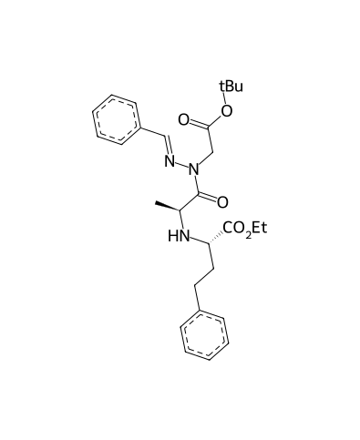 CCOC(=O)[C@H](CCc1ccccc1)N[C@@H](C)C(=O)N(CC(=O)OC(C)(C)C)N=Cc1ccccc1